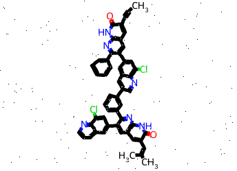 CC#Cc1cc2cc(-c3cc(Cl)c4ncc(-c5cccc(-c6nc7[nH]c(=O)c(C=C(C)C)cc7cc6-c6cc(Cl)c7ncccc7c6)c5)cc4c3)c(-c3ccccc3)nc2[nH]c1=O